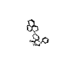 O=C1NCN(c2ccccc2)C12CCN(C1CCc3cccc4cccc1c34)CC2